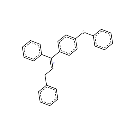 C(/Cc1ccccc1)=C(/c1ccccc1)c1ccc(Sc2ccccc2)cc1